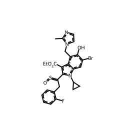 CCOC(=O)c1c(C(Cc2ccccc2F)=S=O)n(C2CC2)c2cc(Br)c(O)c(Cn3ccnc3C)c12